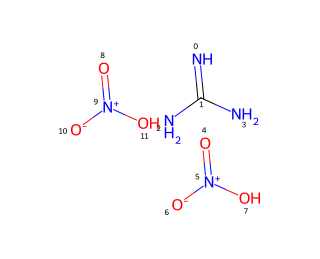 N=C(N)N.O=[N+]([O-])O.O=[N+]([O-])O